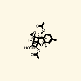 CC(=O)OC[C@]12CCC(C)=C[C@H]1OC13[C@H](OC(C)=O)[C@@H](O)[C@@H]1[C@@]1(CO1)[C@]32C